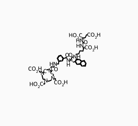 O=C(O)CC[C@H](NC(=O)N[C@@H](CCCCNC(=O)[C@H](Cc1ccc2ccccc2c1)NC(=O)c1cccc(CNC(=O)CN2CCN(CC(=O)O)CCN(CC(=O)O)CCN(CC(=O)O)CC2)c1)C(=O)O)C(=O)O